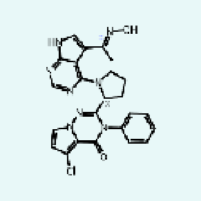 C/C(=N\O)c1c[nH]c2ncnc(N3CCC[C@H]3c3nn4ccc(Cl)c4c(=O)n3-c3ccccc3)c12